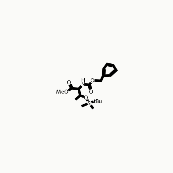 COC(=O)C(NC(=O)OCc1ccccc1)C(C)O[Si](C)(C)C(C)(C)C